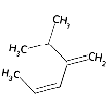 C=C(/C=C\C)C(C)C